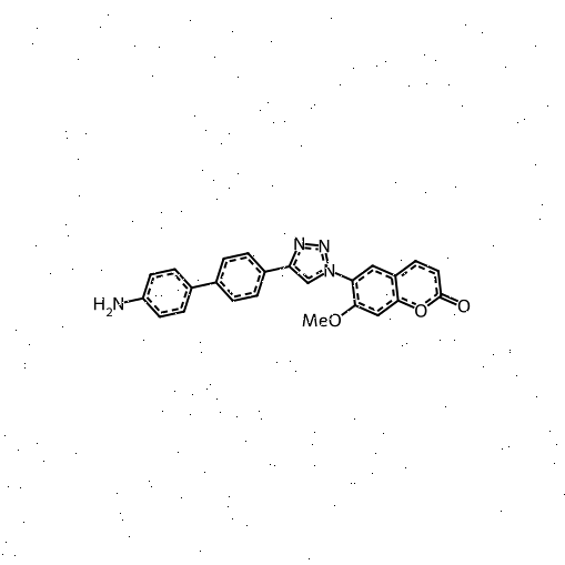 COc1cc2oc(=O)ccc2cc1-n1cc(-c2ccc(-c3ccc(N)cc3)cc2)nn1